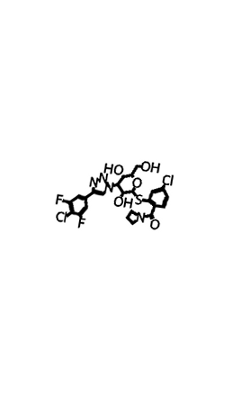 O=C(c1ccc(Cl)cc1SC1OC(CO)C(O)C(n2cc(-c3cc(F)c(Cl)c(F)c3)nn2)C1O)N1CCC1